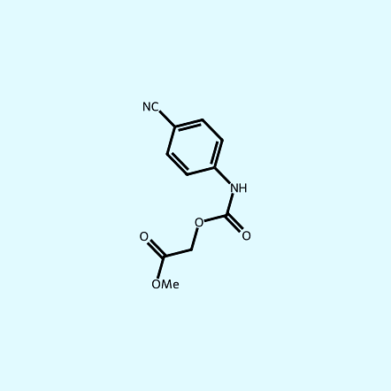 COC(=O)COC(=O)Nc1ccc(C#N)cc1